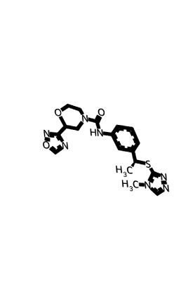 C[C@H](Sc1nncn1C)c1cccc(NC(=O)N2CCOC(c3ncon3)C2)c1